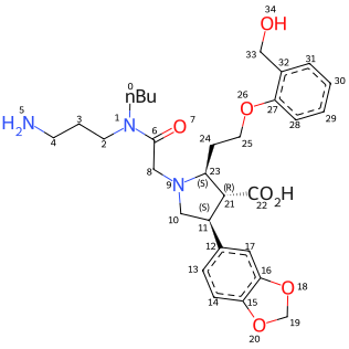 CCCCN(CCCN)C(=O)CN1C[C@H](c2ccc3c(c2)OCO3)[C@@H](C(=O)O)[C@@H]1CCOc1ccccc1CO